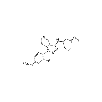 COc1ccc(-c2nnc(N[C@@H]3CCCN(C)C3)c3cnccc23)c(F)c1